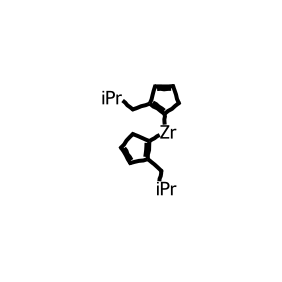 CC(C)CC1=[C]([Zr][C]2=C(CC(C)C)C=CC2)CC=C1